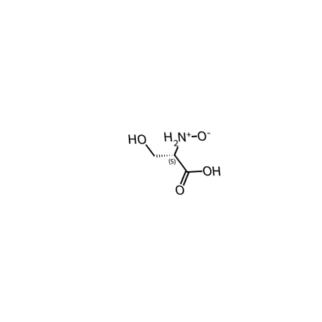 O=C(O)[C@H](CO)[NH2+][O-]